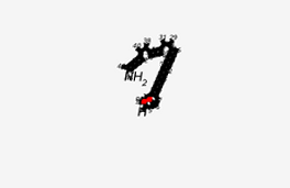 CNC(C)C1C2CC1C1C(CC(C)C2C)C2C1C1C2C2C1C1C3C4C5C6CC(C(C)C(C)C7CC8CC(C(C)C(C)C9CC%10C%11C(N)C(C)C%11C9%10)C87)C6C5C4C3C21